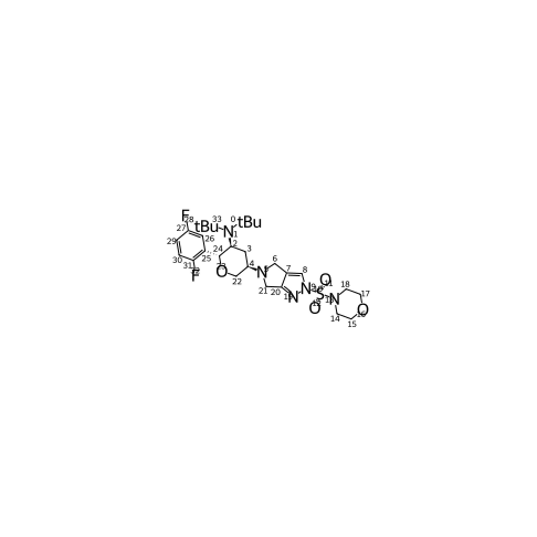 CC(C)(C)N([C@H]1C[C@@H](N2Cc3cn(S(=O)(=O)N4CCOCC4)nc3C2)CO[C@@H]1c1cc(F)ccc1F)C(C)(C)C